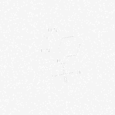 N[C@@H]1CCCC[C@@H]1N.O=P(O)(O)OP(=O)(O)O.[Pt]